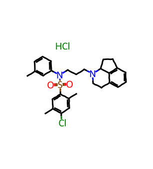 Cc1cccc(N(CCCN2CCc3cccc4c3C2CC4)S(=O)(=O)c2cc(C)c(Cl)cc2C)c1.Cl